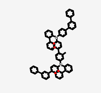 Cc1cc(N(c2ccc(-c3cccc(-c4ccccc4)c3)cc2)c2ccccc2-c2ccccc2)ccc1-c1ccc(N(c2ccc(-c3cccc(-c4ccccc4)c3)cc2)c2ccccc2-c2ccccc2)cc1C